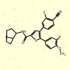 COc1ccc(-c2sc(C(=O)NC3CC4C5CC3N45)cc2-c2ccc(C#N)c(F)c2)cc1F